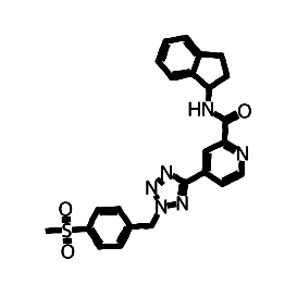 CS(=O)(=O)c1ccc(Cn2nnc(-c3ccnc(C(=O)NC4CCc5ccccc54)c3)n2)cc1